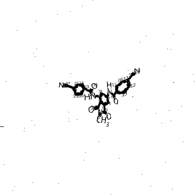 CN1C(=O)c2cc(NC(=O)c3ccc(C#N)cc3)cc(NC(=O)c3ccc(C#N)cc3)c2C1=O